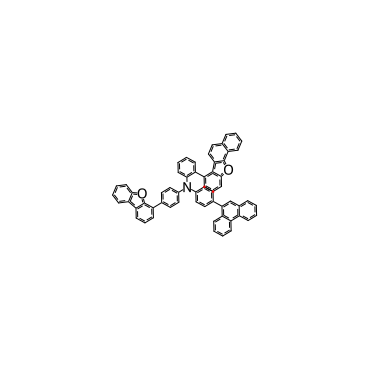 c1ccc(N(c2ccc(-c3cc4ccccc4c4ccccc34)cc2)c2ccc(-c3cccc4c3oc3ccccc34)cc2)c(-c2cccc3oc4c5ccccc5ccc4c23)c1